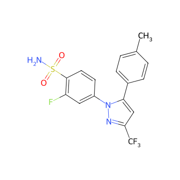 Cc1ccc(-c2cc(C(F)(F)F)nn2-c2ccc(S(N)(=O)=O)c(F)c2)cc1